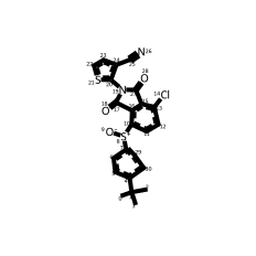 CC(C)(C)c1ccc([S+]([O-])c2ccc(Cl)c3c2C(=O)N(c2sccc2C#N)C3=O)cc1